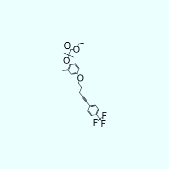 CCOC(=O)C(C)(C)Oc1ccc(OCCCC#Cc2ccc(C(F)(F)F)cc2)cc1C